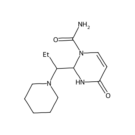 CCC(C1NC(=O)C=CN1C(N)=O)N1CCCCC1